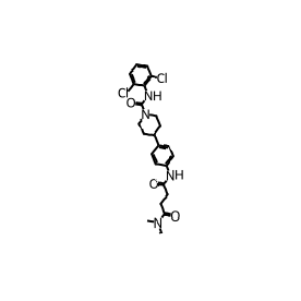 CN(C)C(=O)CCC(=O)Nc1ccc(C2CCN(C(=O)Nc3c(Cl)cccc3Cl)CC2)cc1